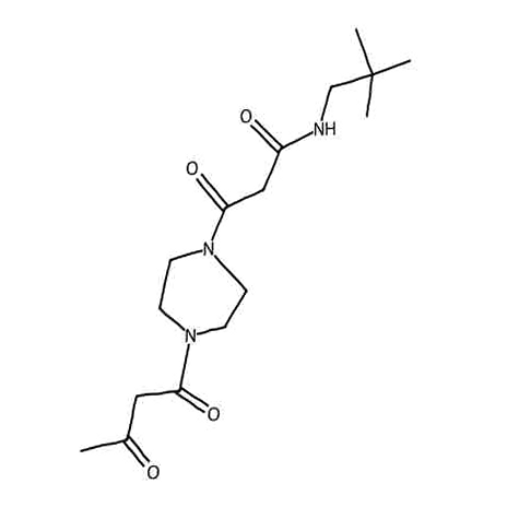 CC(=O)CC(=O)N1CCN(C(=O)CC(=O)NCC(C)(C)C)CC1